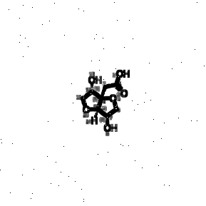 O=C(O)C[C@@]12OC[C@@H](O)[C@H]1OC[C@@H]2O